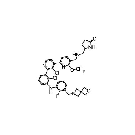 COc1nc(-c2ccnc(-c3cccc(Nc4cccc(CN5CC6(COC6)C5)c4F)c3Cl)c2Cl)ccc1CNCC1CCC(=O)N1